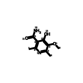 COc1c(C)nc(C)c(C(N)=O)c1O